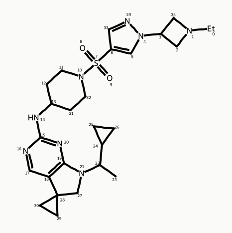 CCN1CC(n2cc(S(=O)(=O)N3CCC(Nc4ncc5c(n4)N(C(C)C4CC4)CC54CC4)CC3)cn2)C1